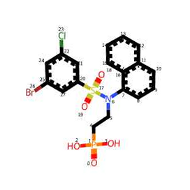 O=P(O)(O)CCN(c1cccc2ccccc12)S(=O)(=O)c1cc(Cl)cc(Br)c1